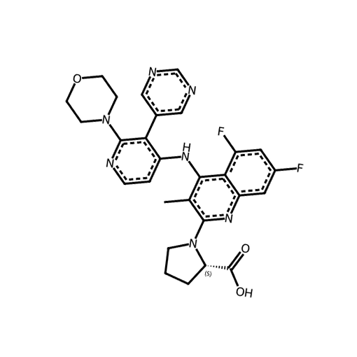 Cc1c(N2CCC[C@H]2C(=O)O)nc2cc(F)cc(F)c2c1Nc1ccnc(N2CCOCC2)c1-c1cncnc1